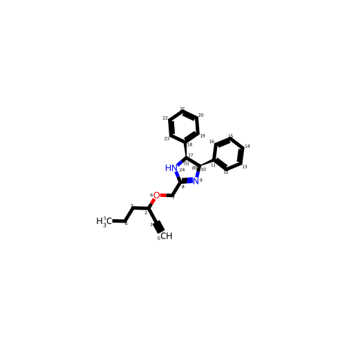 C#CC(CCC)OCC1=N[C@H](c2ccccc2)[C@H](c2ccccc2)N1